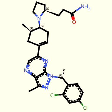 Cc1nn([C@H](C)c2ccc(Cl)cc2Cl)c2nc(C3=CC[C@H](N4CCC[C@H]4CCC(N)=O)[C@H](C)C3)cnc12